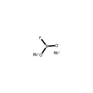 [O-]B([O-])F.[Rb+].[Rb+]